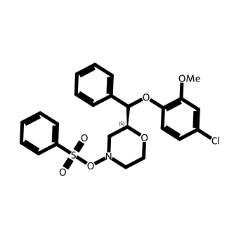 COc1cc(Cl)ccc1OC(c1ccccc1)[C@@H]1CN(OS(=O)(=O)c2ccccc2)CCO1